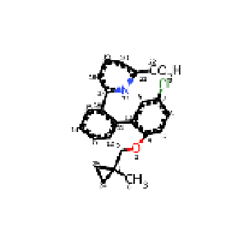 CC1(COc2ccc(Cl)cc2-c2ccccc2-c2cccc(C(=O)O)n2)CC1